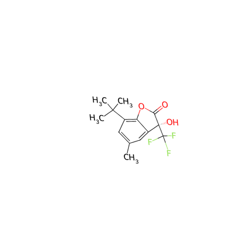 Cc1cc(C(C)(C)C)c2c(c1)[C@](O)(C(F)(F)F)C(=O)O2